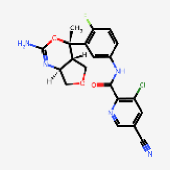 C[C@]1(c2cc(NC(=O)c3ncc(C#N)cc3Cl)ccc2F)OC(N)=N[C@@H]2COC[C@H]21